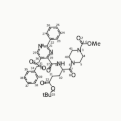 COC(=O)N1CCN(C(=O)C(CCC(=O)OC(C)(C)C)NC(=O)c2nc(-c3ccccc3)ncc2S(=O)(=O)c2ccccc2)CC1